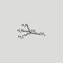 CCCCCCC(C)(CCCCC)N(CCCN)CCCN